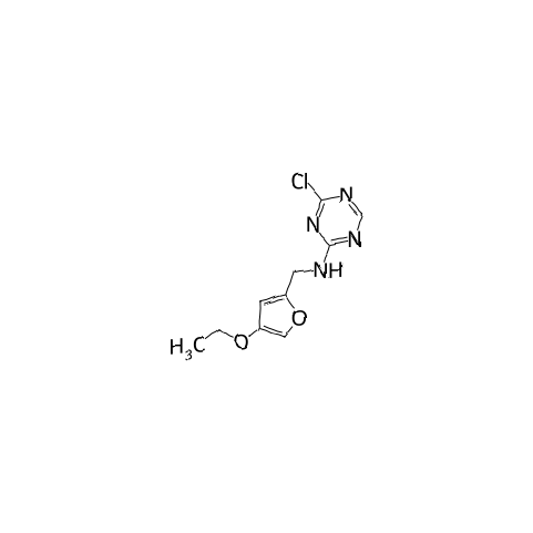 CCOc1coc(CNc2ncnc(Cl)n2)c1